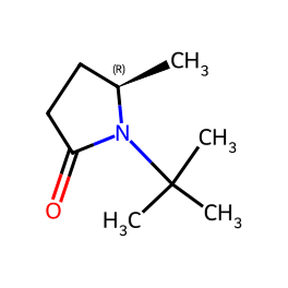 C[C@@H]1CCC(=O)N1C(C)(C)C